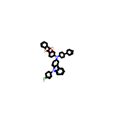 Fc1ccc(-n2c3ccccc3c3cc(N(c4ccc(-c5ccccc5)cc4)c4ccc5c(c4)oc4c6ccccc6sc54)ccc32)cc1